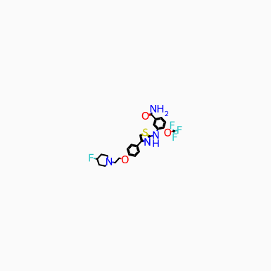 NC(=O)c1ccc(OC(F)(F)F)c(Nc2nc(-c3ccc(OCCN4CCC(F)CC4)cc3)cs2)c1